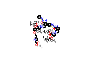 CC(C)(C)OC(=O)c1nc(N2CCc3cccc(C(=O)Nc4nc5ccccc5s4)c3C2)ccc1B1OC(C)(C)C(C)(C)O1.COC(=O)Cc1ccc(CCCOc2cccc(-c3ccc(N4CCc5cccc(C(=O)Nc6nc7ccccc7s6)c5C4)nc3C(=O)OC(C)(C)C)c2C)cn1